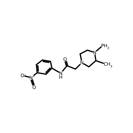 CC1CN(CC(=O)Nc2cccc([N+](=O)[O-])c2)CCN1P